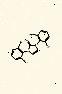 CC(C)c1cccc(C(C)C)c1-n1ccn(-c2c(C(C)C)cccc2C(C)C)[c]1=[Cu]